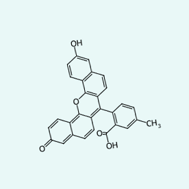 Cc1ccc(-c2c3ccc4cc(O)ccc4c3oc3c2ccc2cc(=O)ccc23)c(C(=O)O)c1